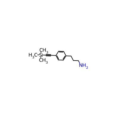 C[Si](C)(C)C#Cc1ccc(CCCN)cc1